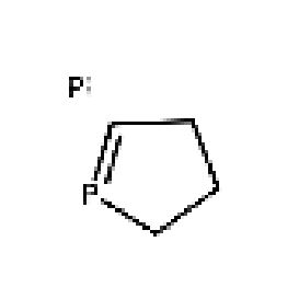 C1=PCCC1.[P]